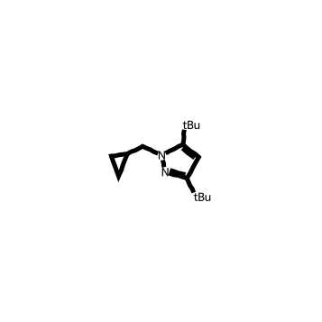 CC(C)(C)c1cc(C(C)(C)C)n(CC2CC2)n1